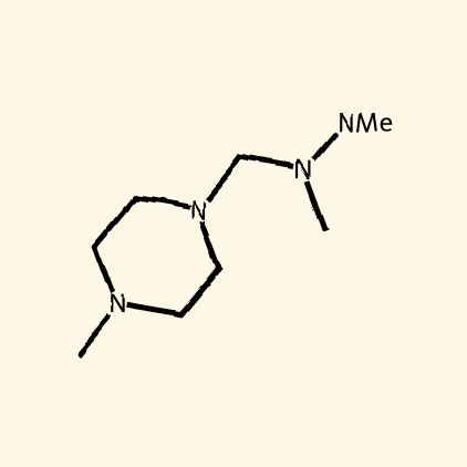 CNN(C)CN1CCN(C)CC1